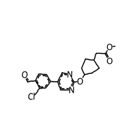 COC(=O)CC1CCC(Oc2ncc(-c3ccc(C=O)c(Cl)c3)cn2)CC1